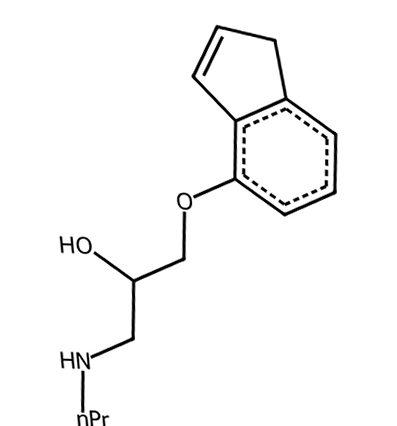 CCCNCC(O)COc1cccc2c1C=CC2